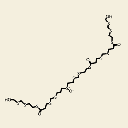 O=C(CCSCSCCC[S+]([O-])CCSCSCCSC(=O)CCSCSCCC(=O)SCCSCSCO)SCCSCSCO